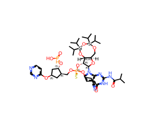 CC(C)C(=O)Nc1nc2c(ccn2[C@@H]2O[C@@H]3CO[Si](C(C)C)(C(C)C)O[Si](C(C)C)(C(C)C)O[C@H]3[C@H]2O[P@](=S)(OCCC#N)OC[C@H]2C[C@@H](Oc3ccncn3)C[C@@H]2O[PH](=O)O)c(=O)[nH]1